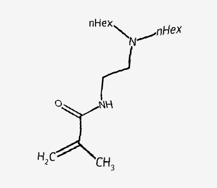 C=C(C)C(=O)NCCN(CCCCCC)CCCCCC